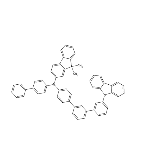 CC1(C)c2ccccc2-c2ccc(N(c3ccc(-c4ccccc4)cc3)c3ccc(-c4cccc(-c5cccc(-n6c7ccccc7c7ccccc76)c5)c4)cc3)cc21